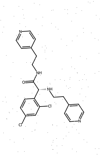 O=C(NCCc1ccncc1)[C@H](NCCc1ccncc1)c1ccc(Cl)cc1Cl